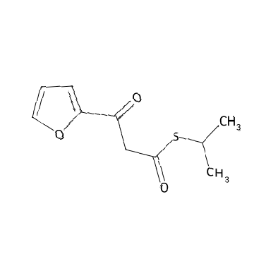 CC(C)SC(=O)CC(=O)c1ccco1